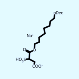 CCCCCCCCCCCCCCCCCCOC(=O)C(CC(=O)[O-])S(=O)(=O)O.[Na+]